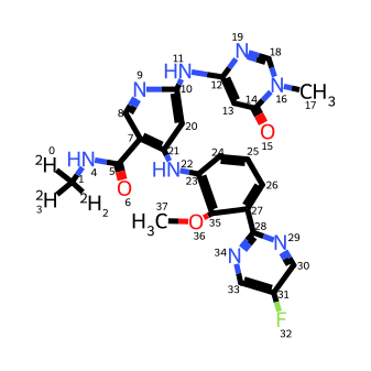 [2H]C([2H])([2H])NC(=O)c1cnc(Nc2cc(=O)n(C)cn2)cc1Nc1cccc(-c2ncc(F)cn2)c1OC